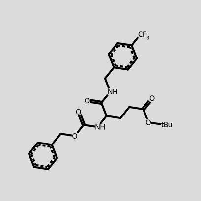 CC(C)(C)OC(=O)CCC(NC(=O)OCc1ccccc1)C(=O)NCc1ccc(C(F)(F)F)cc1